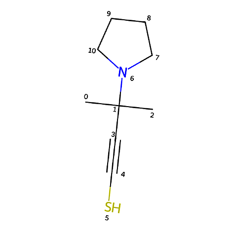 CC(C)(C#CS)N1CCCC1